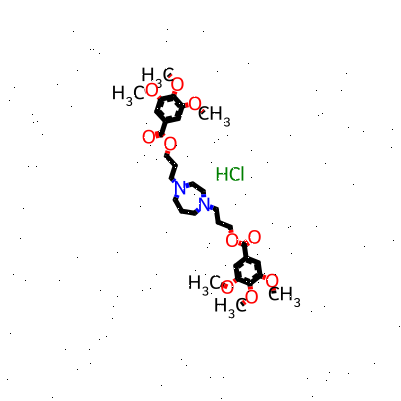 COc1cc(C(=O)OCCCN2CCCN(CCCOC(=O)c3cc(OC)c(OC)c(OC)c3)CC2)cc(OC)c1OC.Cl